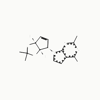 Cc1nc(Cl)c2ccn([C@@H]3C=[C][C@H]4OC(C)(C)O[C@@H]34)c2n1